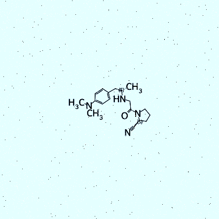 C[C@@H](Cc1ccc(N(C)C)cc1)NCC(=O)N1CCC[C@H]1C#N